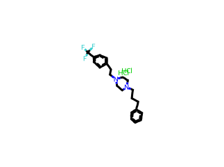 Cl.Cl.FC(F)(F)c1ccc(CCN2CCN(CCCc3ccccc3)CC2)cc1